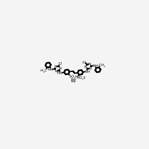 Cc1ccccc1Nc1nc(Cl)nc(Nc2ccc(C=Cc3ccc(Nc4nc(Cl)nc(Nc5ccccc5C)n4)cc3S(=O)(=O)O)c(S(=O)(=O)O)c2)n1.[Na].[Na]